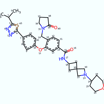 CC(C)c1nnc(-c2ccc(Oc3cc(C(=O)NC4CC5(C4)CN(C4CCOCC4)C5)ccc3CN3CCCC3=O)cc2)s1